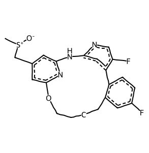 C[S+]([O-])Cc1cc2nc(c1)OCCCCc1cc(F)ccc1-c1cc(ncc1F)N2